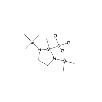 C[Si](C)(C)N1CCN([Si](C)(C)C)[Si]1(C)[Si](Cl)(Cl)Cl